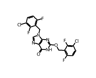 O=c1[nH]c(OCc2c(F)ccc(Cl)c2F)nc2c1ncn2Cc1c(F)ccc(Cl)c1F